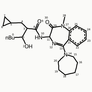 CCCCC(O)C(CC1CC1)C(=O)NC1N=C(N2CCCCCC2)c2ccccc2N(C)C1=O